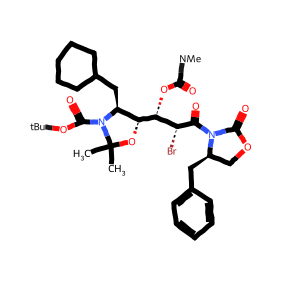 CNC(=O)O[C@@H]([C@@H]1OC(C)(C)N(C(=O)OC(C)(C)C)[C@H]1CC1CCCCC1)[C@@H](Br)C(=O)N1C(=O)OC[C@H]1Cc1ccccc1